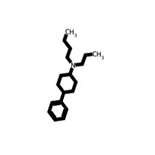 CCCCN(CCC)C1CCC(c2ccccc2)CC1